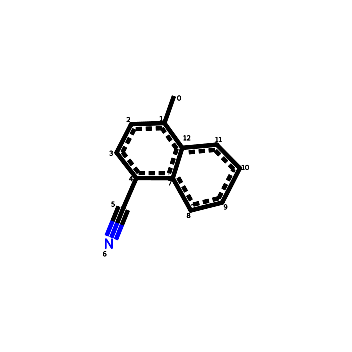 [CH2]c1ccc(C#N)c2ccccc12